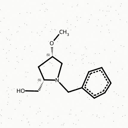 CO[C@H]1C[C@@H](CO)N(Cc2ccccc2)C1